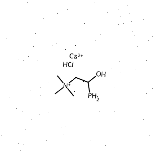 C[N+](C)(C)CC(O)P.Cl.[Ca+2]